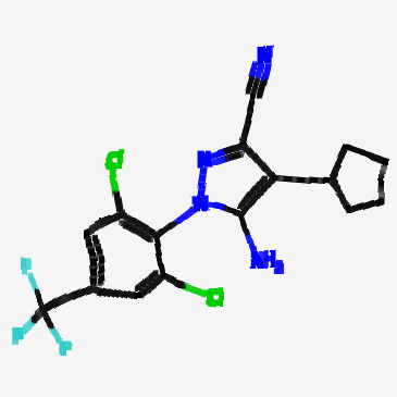 N#Cc1nn(-c2c(Cl)cc(C(F)(F)F)cc2Cl)c(N)c1C1CCCC1